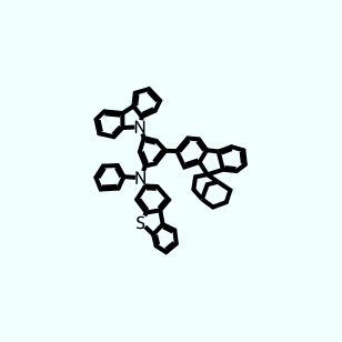 c1ccc(N(c2cc(-c3ccc4c(c3)C3(CCC5CCCC3C5)c3ccccc3-4)cc(-n3c4ccccc4c4ccccc43)c2)c2ccc3c(c2)sc2ccccc23)cc1